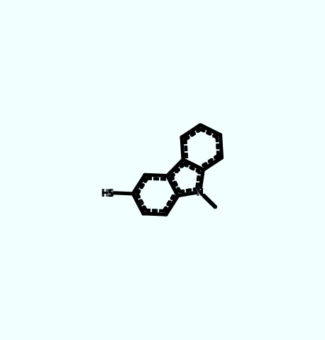 Cn1c2ccccc2c2cc(S)ccc21